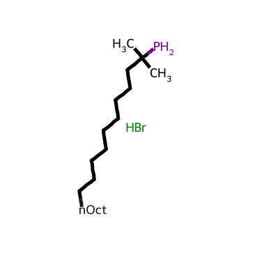 Br.CCCCCCCCCCCCCCCCCC(C)(C)P